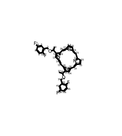 CC(OCc1cc(F)ccc1F)C1=Cc2cc3[nH]c(cc4nc(cc5ccc(cc1n2)[nH]5)C=C4)cc3C(C)OCc1cc(F)ccc1F